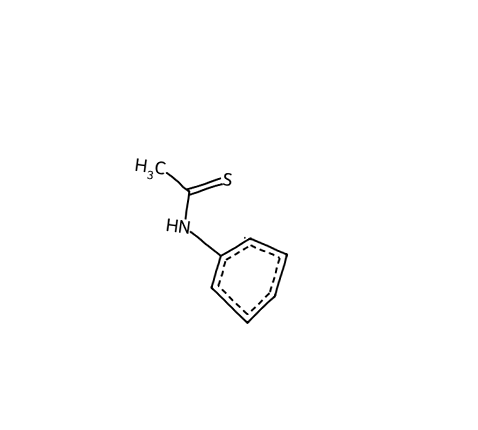 CC(=S)Nc1[c]cccc1